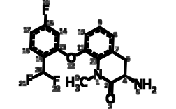 CN1C(=O)[C@H](N)Cc2cccc(Oc3cc(F)ccc3C(F)F)c21